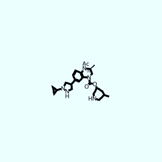 CC(=O)N1c2ccc(C3CNN(C4CC4)C3)cc2N(C(=O)OC2CNCC(C)C2)C[C@@H]1C